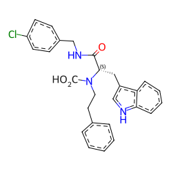 O=C(NCc1ccc(Cl)cc1)[C@H](Cc1c[nH]c2ccccc12)N(CCc1ccccc1)C(=O)O